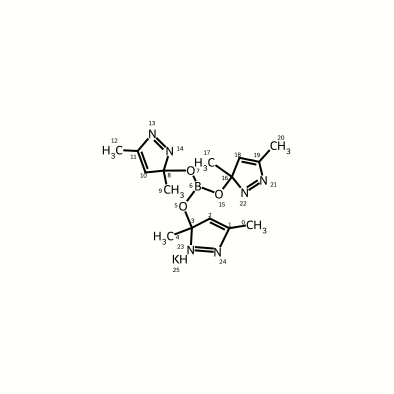 CC1=CC(C)(OB(OC2(C)C=C(C)N=N2)OC2(C)C=C(C)N=N2)N=N1.[KH]